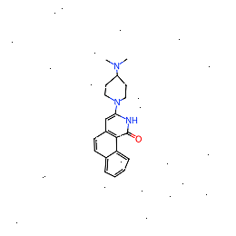 CN(C)C1CCN(c2cc3ccc4ccccc4c3c(=O)[nH]2)CC1